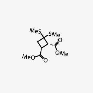 COC(=O)[C@H]1CC(SC)(SC)[C@@H]1C(=O)OC